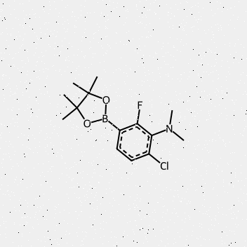 CN(C)c1c(Cl)ccc(B2OC(C)(C)C(C)(C)O2)c1F